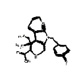 CC1(C)c2c(n(Cc3ccc(F)cc3)c3ncccc23)CNC1C(=O)O